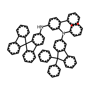 c1ccc(-c2ccc(Nc3ccc4c(c3)C3(c5ccccc5-c5ccccc53)c3ccccc3-4)cc2N(c2ccccc2)c2ccc3c(c2)-c2ccccc2C3(c2ccccc2)c2ccccc2)cc1